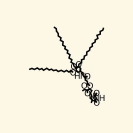 CCCCCCCCCCCCCCCCCCOc1cc(CNC(=O)CCC(=O)OC2CC(n3cc(C)c(=O)[nH]c3=O)OC2CC)cc(OCCCCCCCCCCCCCCCCCC)c1OCCCCCCCCCCCCCCCCCC